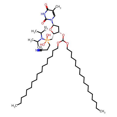 CCCCCCCCCCCCCCCCOC(OCCCCCCCCCCCCCCCC)O[C@H]1C[C@H](n2cc(C)c(=O)[nH]c2=O)O[C@H]1CP(O)(O)(CCC#N)N(C(C)C)C(C)C